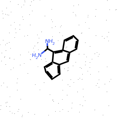 NC(N)c1c2ccccc2cc2ccccc12